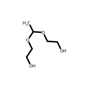 CC(OCCO)OCCO